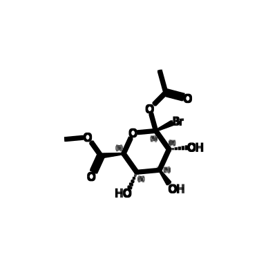 COC(=O)[C@H]1O[C@](Br)(OC(C)=O)[C@H](O)[C@@H](O)[C@@H]1O